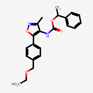 Cc1noc(-c2ccc(COCC(=O)O)cc2)c1NC(=O)OC(c1ccccc1)C(F)(F)F